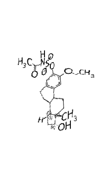 CCOc1cc2c(cc1OS(=O)(=O)NC(C)=O)CCC1C2CC[C@]2(C)[C@H](O)C[C@@H]3C[C@@]132